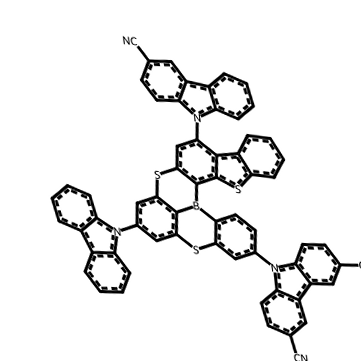 N#Cc1ccc2c(c1)c1cc(C#N)ccc1n2-c1ccc2c(c1)Sc1cc(-n3c4ccccc4c4ccccc43)cc3c1B2c1c(cc(-n2c4ccccc4c4cc(C#N)ccc42)c2c1sc1ccccc12)S3